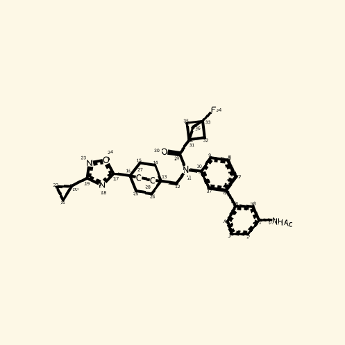 CC(=O)Nc1cccc(-c2cccc(N(CC34CCC(c5nc(C6CC6)no5)(CC3)CC4)C(=O)C34CC(F)(C3)C4)c2)c1